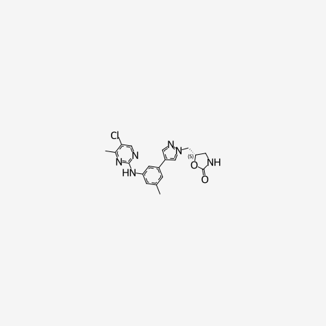 Cc1cc(Nc2ncc(Cl)c(C)n2)cc(-c2cnn(C[C@@H]3CNC(=O)O3)c2)c1